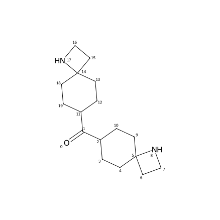 O=C(C1CCC2(CCN2)CC1)C1CCC2(CCN2)CC1